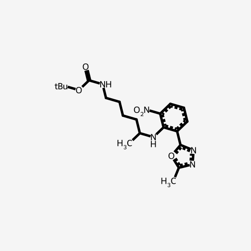 Cc1nnc(-c2cccc([N+](=O)[O-])c2NC(C)CCCCNC(=O)OC(C)(C)C)o1